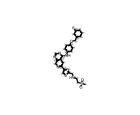 CS(=O)(=O)CCNCc1nc(-c2cc3c(Nc4ccc(OCc5cccc(F)c5)cc4)ncnc3cn2)cs1